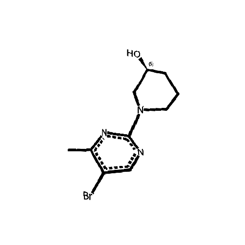 Cc1nc(N2CCC[C@H](O)C2)ncc1Br